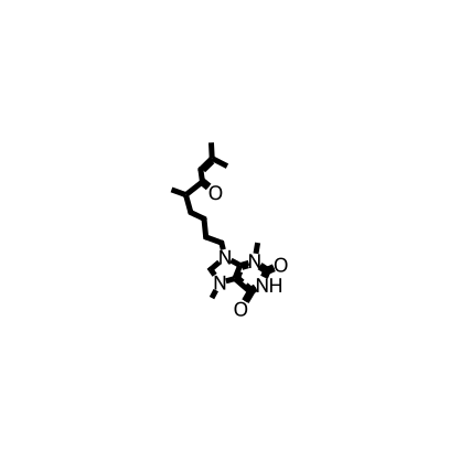 CC(C)=CC(=O)C(C)CCCCN1CN(C)c2c1n(C)c(=O)[nH]c2=O